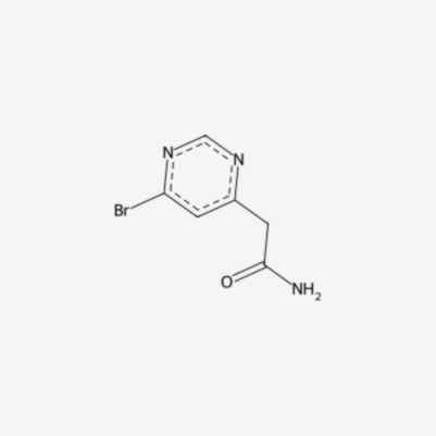 NC(=O)Cc1cc(Br)ncn1